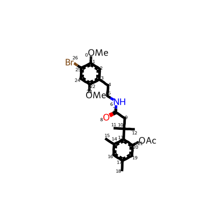 COc1cc(CCNC(=O)CC(C)(C)c2c(C)cc(C)cc2OC(C)=O)c(OC)cc1Br